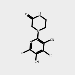 CCc1c(C#N)c(Cl)nc(N2CCNC(=O)C2)c1C#N